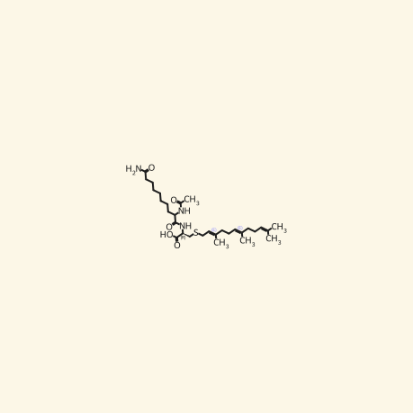 CC(=O)NC(CCCCCCCC(N)=O)C(=O)N[C@@H](CSC/C=C(\C)CC/C=C(\C)CCC=C(C)C)C(=O)O